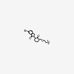 C[Si](C)(C)CCOCN1CCCC(N2Cc3ccc(Br)cc3C2=O)C1=O